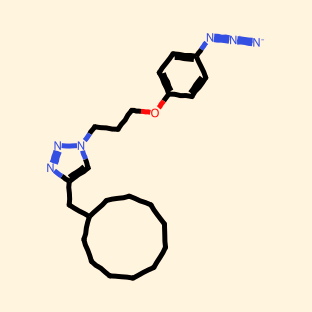 [N-]=[N+]=Nc1ccc(OCCCn2cc(CC3CCCCCCCCCC3)nn2)cc1